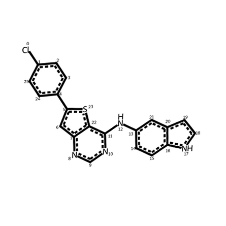 Clc1ccc(-c2cc3ncnc(Nc4ccc5[nH]ccc5c4)c3s2)cc1